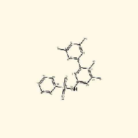 Cc1cc(C)cc(-c2nc(NS(=O)(=O)c3ccccc3)cc(C)c2C)c1